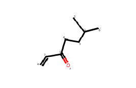 [CH2]C(C)CCC(=O)C=C